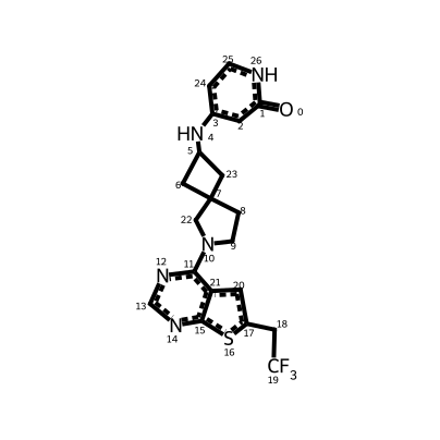 O=c1cc(NC2CC3(CCN(c4ncnc5sc(CC(F)(F)F)cc45)C3)C2)cc[nH]1